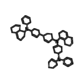 C1=CCC(N(C2C=CC(C3C=CC(N(C4=CCC(N(C5=CCCCC5)c5ccccc5)CC4)C4=C5CCC=CC5=CCC4)CC3)CC2)C2CCC=C3CCC=CC32)C=C1